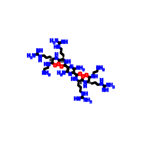 N=C(N)NCCC[C@H](NC(=O)c1nc(N)c(C(=O)N[C@@H](CCCNC(=N)N)C(=O)N[C@@H](CCCNC(=N)N)C(=O)NCCN)nc1N)C(=O)N[C@@H](CCCNC(=N)N)C(=O)NCCN